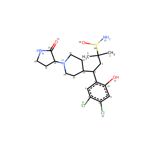 CC(C)(CC(c1cc(Cl)c(Cl)cc1O)C1CCN(C2CCNC2=O)CC1)[S+](N)[O-]